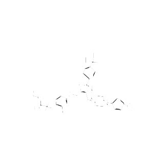 CCOC(=O)C(C)(C)Oc1ccc(SCc2sc(-c3ccc(C(F)(F)F)cc3)nc2CN2CCN(c3ccc(OC)cc3)CC2)cc1C